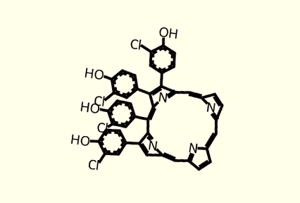 Oc1ccc(C2=CC3=CC4=NC(=CC5=NC(=CC6=NC(=C(c7ccc(O)c(Cl)c7)C2=N3)C(c2ccc(O)c(Cl)c2)=C6c2ccc(O)c(Cl)c2)C=C5)C=C4)cc1Cl